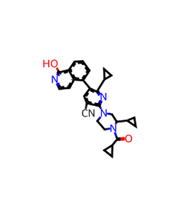 N#Cc1cc(-c2cccc3c(O)nccc23)c(C2CC2)nc1N1CCN(C(=O)C2CC2)C(C2CC2)C1